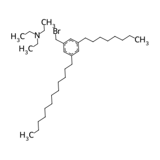 CCCCCCCCCCCCc1cc(CBr)cc(CCCCCCCC)c1.CCN(CC)CC